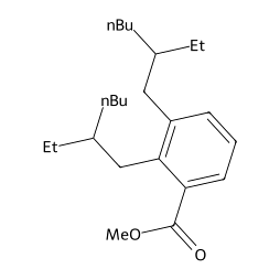 CCCCC(CC)Cc1cccc(C(=O)OC)c1CC(CC)CCCC